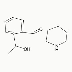 C1CCNCC1.CC(O)c1ccccc1C=O